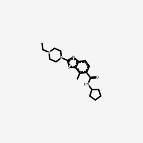 CCN1CCN(c2nc3ccc(C(=O)NC4CCCC4)c(C)c3s2)CC1